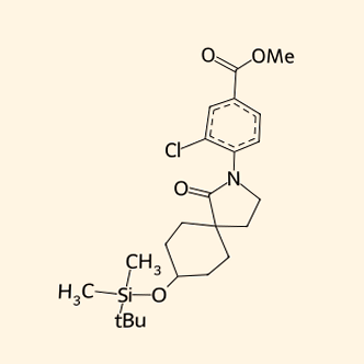 COC(=O)c1ccc(N2CCC3(CCC(O[Si](C)(C)C(C)(C)C)CC3)C2=O)c(Cl)c1